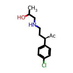 CC(=O)[C@H](CCNCC(C)O)c1ccc(Cl)cc1